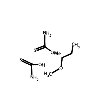 CCCOC.COC(N)=S.NC(O)=S